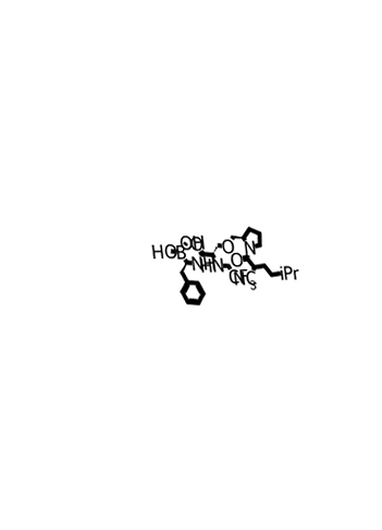 CC(C)CCC(C#N)C(=O)N1CCC[C@@H]1COC[C@H](NCC(F)(F)F)C(=O)N[C@@H](Cc1ccccc1)B(O)O